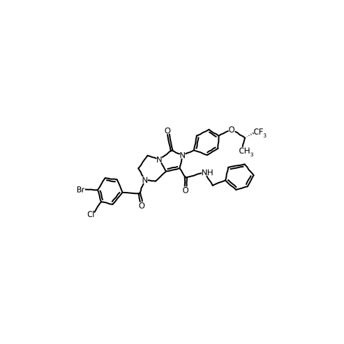 C[C@H](Oc1ccc(-n2c(C(=O)NCc3ccccc3)c3n(c2=O)CCN(C(=O)c2ccc(Br)c(Cl)c2)C3)cc1)C(F)(F)F